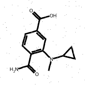 CN(c1cc(C(=O)O)ccc1C(N)=O)C1CC1